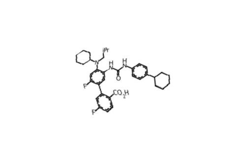 CC(C)CN(c1cc(F)c(-c2cc(F)ccc2C(=O)O)cc1NC(=O)Nc1ccc(C2CCCCC2)cc1)C1CCCCC1